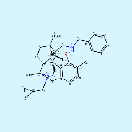 COC12CC[C@@]3(C[C@H]1CNCc1ccccc1)[C@H]1Cc4ccc(C)c5c4[C@@]3(CCN1CC1CC1)[C@H]2O5